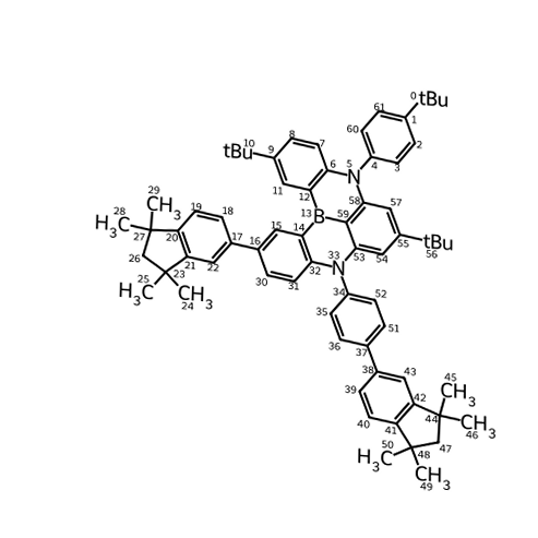 CC(C)(C)c1ccc(N2c3ccc(C(C)(C)C)cc3B3c4cc(-c5ccc6c(c5)C(C)(C)CC6(C)C)ccc4N(c4ccc(-c5ccc6c(c5)C(C)(C)CC6(C)C)cc4)c4cc(C(C)(C)C)cc2c43)cc1